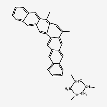 C[SiH]1O[SiH](C)[SiH2][SiH](C)[SiH2]1.Cc1cc2c(C)c3cc4ccccc4cc3cc2c2cc3cc4ccccc4cc3cc12